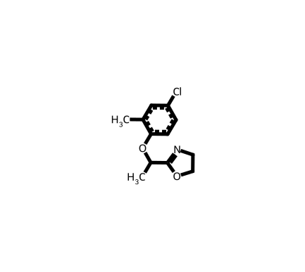 Cc1cc(Cl)ccc1OC(C)C1=NCCO1